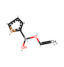 C=COB(O)c1cccs1